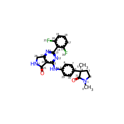 CN1CC[C@](C)(c2ccc(Nc3nc(-c4c(F)cccc4F)nc4c3C(=O)NC4)cc2)C1=O